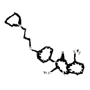 Cc1cccc2nc(C)n(-c3ccc(OCCCN4CCCC4)cc3)c(=O)c12